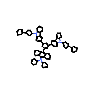 c1ccc(-c2ccc(-n3c4ccccc4c4cc(-c5cc(-c6ccc7c(c6)c6ccccc6n7-c6ccc(-c7ccccc7)cc6)cc(-c6c7ccccc7c(N(c7ccccc7)c7ccccc7)c7ccccc67)c5)ccc43)cc2)cc1